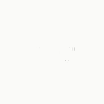 CCOCCC(C)OC(=O)O